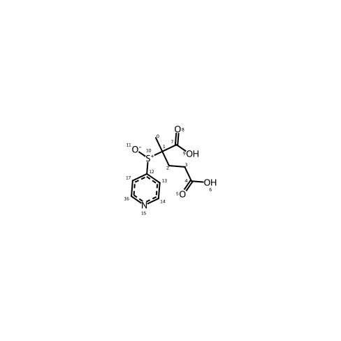 CC(CCC(=O)O)(C(=O)O)[S+]([O-])c1ccncc1